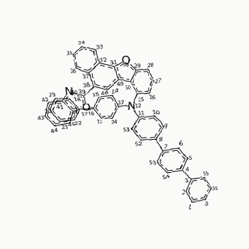 c1ccc(-c2ccc(-c3ccc(N(c4ccc(-c5ccccc5)cc4)c4cccc5oc6c7ccccc7c(-c7nc8ccccc8o7)cc6c45)cc3)cc2)cc1